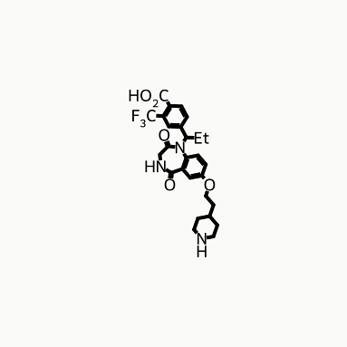 CCC(c1ccc(C(=O)O)c(C(F)(F)F)c1)N1C(=O)CNC(=O)c2cc(OCCC3CCNCC3)ccc21